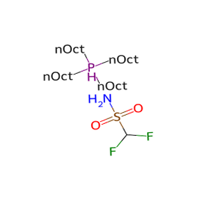 CCCCCCCC[PH](CCCCCCCC)(CCCCCCCC)CCCCCCCC.NS(=O)(=O)C(F)F